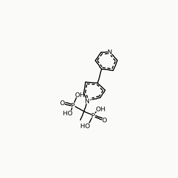 CC([n+]1ccc(-c2ccncc2)cc1)(P(=O)(O)O)P(=O)(O)O